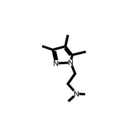 Cc1nn(CCN(C)C)c(C)c1C